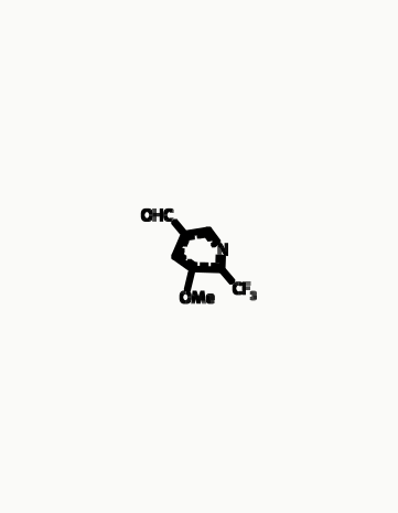 COc1cc(C=O)cnc1C(F)(F)F